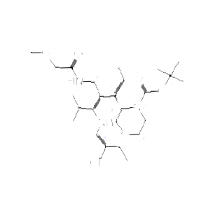 C/C=C(\C(CNC(=O)COC)=C(N/C=C(/Cl)CC)C(C)C)[C@@H]1COCCN1C(=O)OC(C)(C)C